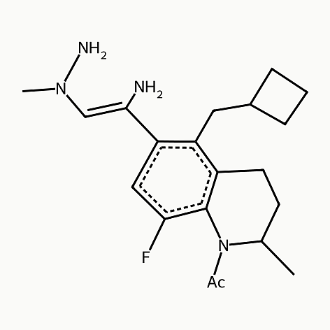 CC(=O)N1c2c(F)cc(/C(N)=C/N(C)N)c(CC3CCC3)c2CCC1C